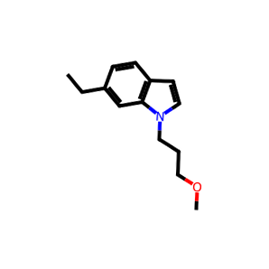 CCc1ccc2ccn(CCCOC)c2c1